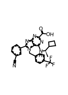 C[C@@H](Nc1nc(C(=O)O)nc2nc(-c3cccc(C#N)c3)n(Cc3ccc(C(F)(F)F)cc3)c12)C1CCC1